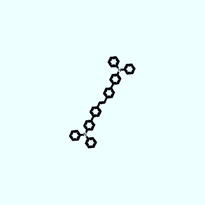 C(=Cc1ccc(-c2ccc(N(c3ccccc3)c3ccccc3)cc2)cc1)c1ccc(-c2ccc(N(c3ccccc3)c3ccccc3)cc2)cc1